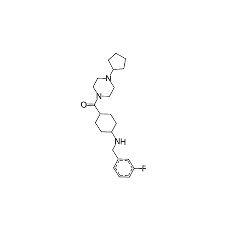 O=C(C1CCC(NCc2cccc(F)c2)CC1)N1CCN(C2CCCC2)CC1